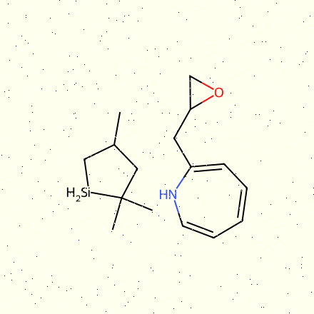 C1=CC=C(CC2CO2)NC=C1.CC1C[SiH2]C(C)(C)C1